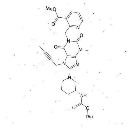 CC#CCn1c(N2CCC[C@@H](NC(=O)OC(C)(C)C)C2)nc2c1c(=O)n(Cc1ncccc1C(=O)OC)c(=O)n2C